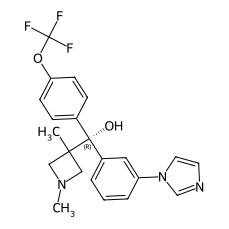 CN1CC(C)([C@@](O)(c2ccc(OC(F)(F)F)cc2)c2cccc(-n3ccnc3)c2)C1